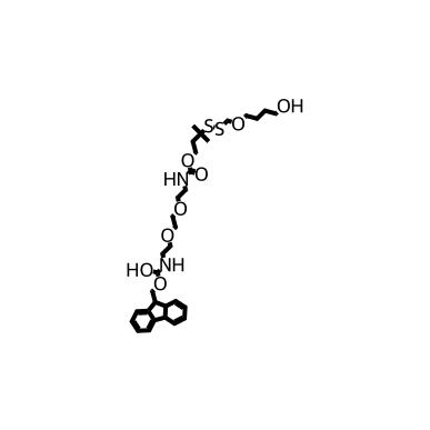 CC(C)(CCOC(=O)NCCOCCOCCNC(O)OCC1c2ccccc2C2C=CC=CC21)SSCOCCCCO